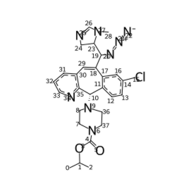 CC(C)OC(=O)N1CCN([C@H]2c3ccc(Cl)cc3C(C(N=[N+]=[N-])C3CN=CN3C)=Cc3cccnc32)CC1